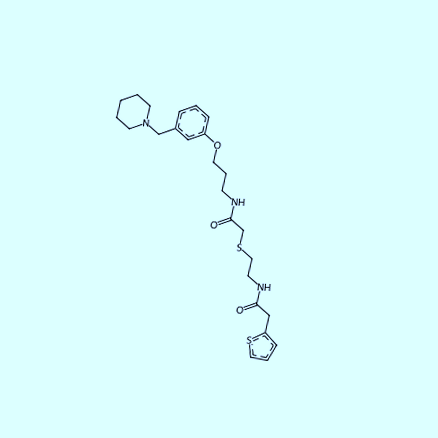 O=C(CSCCNC(=O)Cc1cccs1)NCCCOc1cccc(CN2CCCCC2)c1